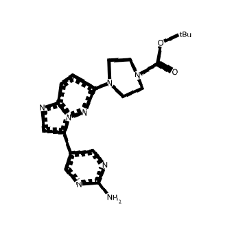 CC(C)(C)OC(=O)N1CCN(c2ccc3ncc(-c4cnc(N)nc4)n3n2)CC1